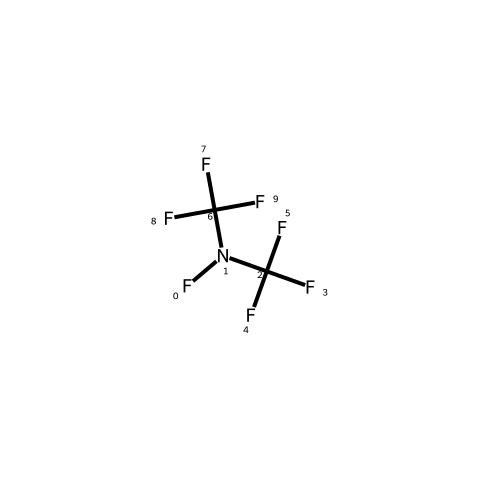 FN(C(F)(F)F)C(F)(F)F